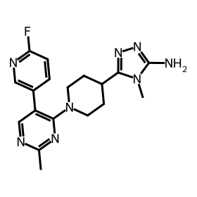 Cc1ncc(-c2ccc(F)nc2)c(N2CCC(c3nnc(N)n3C)CC2)n1